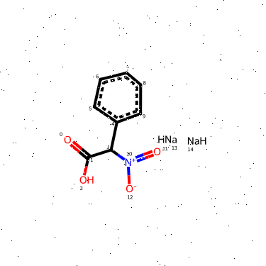 O=C(O)C(c1ccccc1)[N+](=O)[O-].[NaH].[NaH]